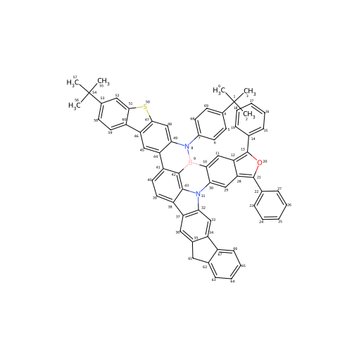 CC(C)(C)c1ccc(N2B3c4cc5c(-c6ccccc6)oc(-c6ccccc6)c5cc4-n4c5cc6c(cc5c5ccc(c3c54)-c3cc4c(cc32)sc2cc(C(C)(C)C)ccc24)Cc2ccccc2-6)cc1